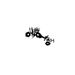 Br.Br.c1ccc(Nc2nc(-c3ccc(-c4csc(Nc5ccccc5)n4)cc3)cs2)cc1